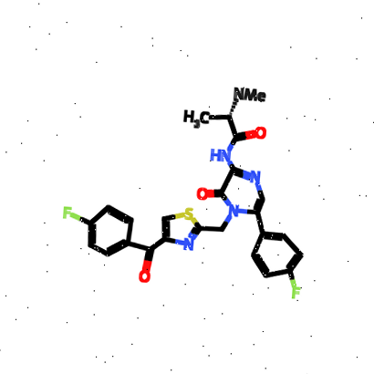 CN[C@@H](C)C(=O)Nc1ncc(-c2ccc(F)cc2)n(Cc2nc(C(=O)c3ccc(F)cc3)cs2)c1=O